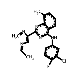 C=N/C(=C\N=C/C)c1nc(Nc2ccc(F)c(Cl)c2)c2cccc(C)c2n1